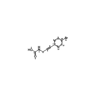 O=C(O)NCC#Cc1ccc(Br)cn1